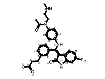 CNCCN(C(C)=O)c1ccc(NC(=C2C(=O)Nc3cc(F)ccc32)c2cccc(CCC(=O)O)c2)cc1